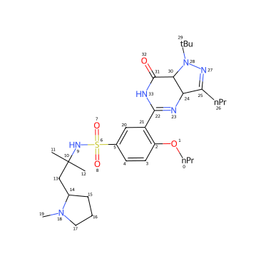 CCCOc1ccc(S(=O)(=O)NC(C)(C)CC2CCCN2C)cc1C1=NC2C(CCC)=NN(C(C)(C)C)C2C(=O)N1